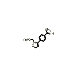 N=C(N)c1ccc(C2=CCON2C[C]=O)cc1